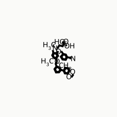 Cc1cc(CN(C)CCCP(=O)(O)O)c(OCc2cccc(C#N)c2)cc1OCc1cccc(-c2ccc3c(c2)OCCO3)c1C